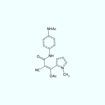 CC(=O)Nc1ccc(NC(=O)C(C#N)=C(OC(C)=O)c2cccn2C)cc1